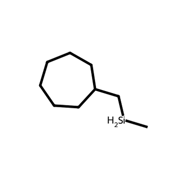 C[SiH2]CC1CCCCCC1